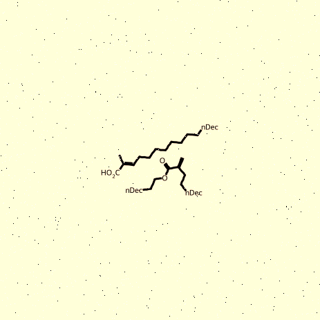 C=C(CCCCCCCCCCCC)C(=O)OCCCCCCCCCCCC.CCCCCCCCCCCCCCCCCCC=C(C)C(=O)O